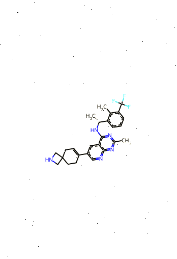 Cc1nc(N[C@H](C)c2cccc(C(F)(F)F)c2C)c2cc(C3=CCC4(CC3)CNC4)cnc2n1